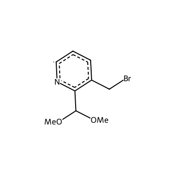 COC(OC)c1n[c]ccc1CBr